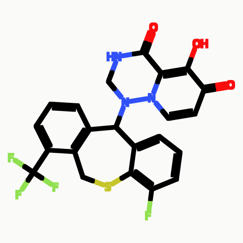 O=C1NCN(C2c3cccc(C(F)(F)F)c3CSc3c(F)cccc32)n2ccc(=O)c(O)c21